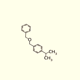 CC(C)c1ccc(COCc2ccccc2)cc1